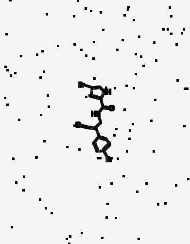 O=C=C(CNC(=O)c1cc(Br)c[nH]1)c1ccc(Br)cc1